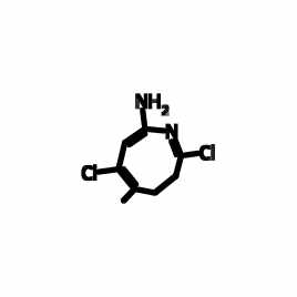 C/C1=C(Cl)/C=C(N)\N=C(\Cl)CC1